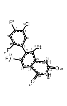 CCc1c(-c2cc(Cl)c(F)cc2F)c(C(F)(F)F)cc2c(=O)[nH]c(=O)[nH]c12